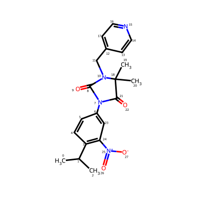 CC(C)c1ccc(N2C(=O)N(Cc3ccncc3)C(C)(C)C2=O)cc1[N+](=O)[O-]